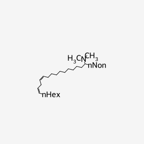 CCCCCC/C=C\C/C=C\CCCCCCCCCC(CCCCCCCCC)N(C)C